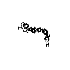 O=C1CCC(N2Cc3c(ccc(N4CCC(CN5CCC(OC6CCNCC6)CC5)CC4)c3F)C2=O)C(=O)N1